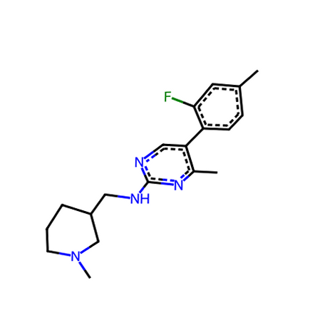 Cc1ccc(-c2cnc(NCC3CCCN(C)C3)nc2C)c(F)c1